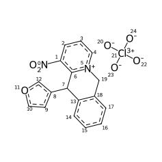 O=[N+]([O-])c1ccc[n+]2c1C(c1ccoc1)c1ccccc1C2.[O-][Cl+3]([O-])([O-])[O-]